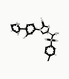 Cc1ccc(S(=O)(=O)C(O)[C@H]2CN(c3ccc(-c4ncc[nH]4)c(F)c3)C(=O)O2)cc1